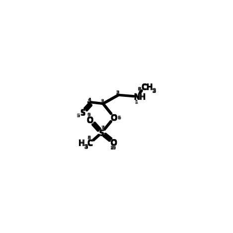 CNCC([C]=S)OS(C)(=O)=O